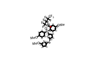 COc1ccc(S(OS(=O)(=O)C(F)(F)C(F)(F)C(F)(F)C(F)(F)F)(c2ccc(OC)cc2)c2ccc(Sc3ccc(OC)s3)s2)cc1